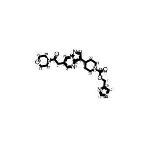 O=C(Cc1cnc2c(C3CCN(C(=O)OCc4cscn4)CC3)cnn2c1)N1CCOCC1